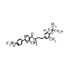 Cc1cc(CCNC(=O)c2cnc(-c3ccc(OC(F)(F)F)cc3)nc2C(F)(F)F)ccc1OC(C)(C)C(=O)O